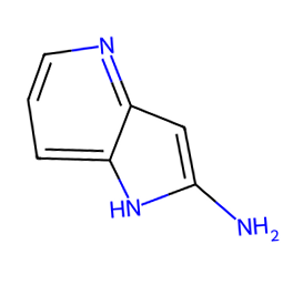 Nc1cc2ncccc2[nH]1